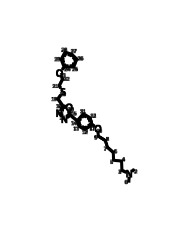 CN(C)CCCCCCCOc1ccc(-c2nnc(CSCCOc3ccccc3)o2)cc1